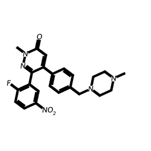 CN1CCN(Cc2ccc(-c3cc(=O)n(C)nc3-c3cc([N+](=O)[O-])ccc3F)cc2)CC1